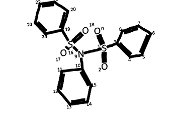 O=S(=O)(c1ccccc1)N(c1[c]cccc1)S(=O)(=O)c1ccccc1